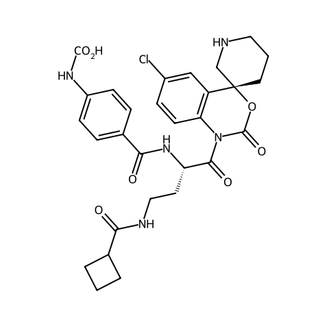 O=C(O)Nc1ccc(C(=O)N[C@@H](CCNC(=O)C2CCC2)C(=O)N2C(=O)O[C@]3(CCCNC3)c3cc(Cl)ccc32)cc1